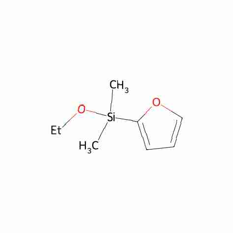 CCO[Si](C)(C)c1ccco1